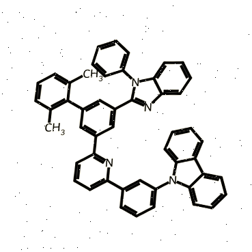 Cc1cccc(C)c1-c1cc(-c2cccc(-c3cccc(-n4c5ccccc5c5ccccc54)c3)n2)cc(-c2nc3ccccc3n2-c2ccccc2)c1